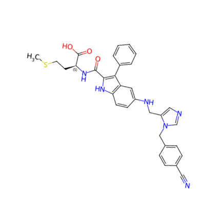 CSCC[C@H](NC(=O)c1[nH]c2ccc(NCc3cncn3Cc3ccc(C#N)cc3)cc2c1-c1ccccc1)C(=O)O